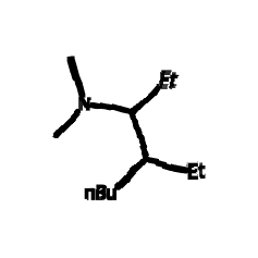 CCCCC(CC)C(CC)N(C)C